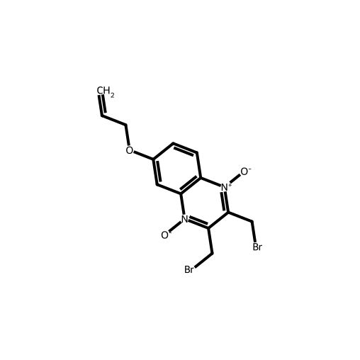 C=CCOc1ccc2c(c1)[n+]([O-])c(CBr)c(CBr)[n+]2[O-]